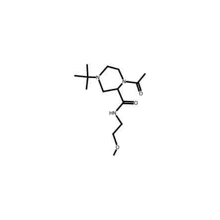 COCCNC(=O)C1CN(C(C)(C)C)CCN1C(C)=O